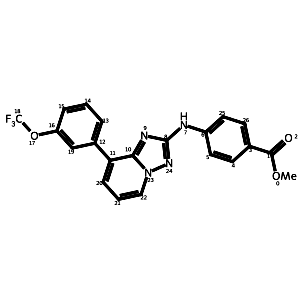 COC(=O)c1ccc(Nc2nc3c(-c4cccc(OC(F)(F)F)c4)cccn3n2)cc1